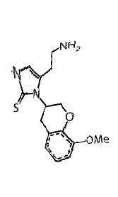 COc1cccc2c1OCC(N1C(=S)[N]C=C1CCN)C2